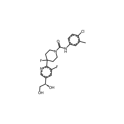 Cc1cc(NC(=O)N2CCC(F)(c3ncc([C@@H](O)CO)cc3F)CC2)ccc1Cl